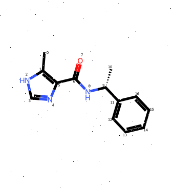 Cc1[nH]cnc1C(=O)N[C@H](C)c1ccccc1